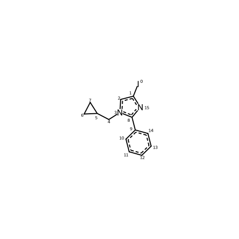 Ic1cn(CC2CC2)c(-c2ccccc2)n1